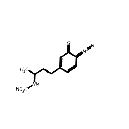 CC(CCC1=CC(=O)C(=[N+]=[N-])C=C1)NC(=O)O